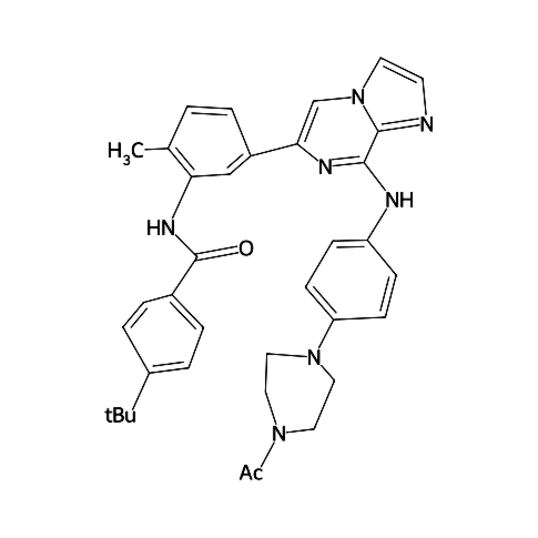 CC(=O)N1CCN(c2ccc(Nc3nc(-c4ccc(C)c(NC(=O)c5ccc(C(C)(C)C)cc5)c4)cn4ccnc34)cc2)CC1